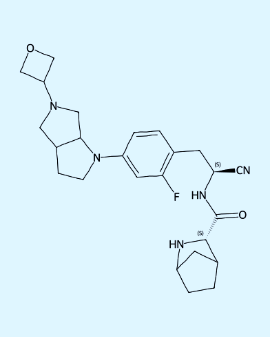 N#C[C@H](Cc1ccc(N2CCC3CN(C4COC4)CC32)cc1F)NC(=O)[C@H]1NC2CCC1C2